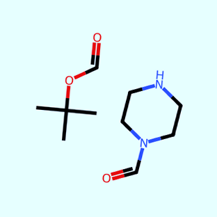 CC(C)(C)OC=O.O=CN1CCNCC1